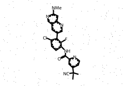 CNc1cc2ncc(-c3c(Cl)ccc(NC(=O)c4cc(C(C)(C)C#N)ccn4)c3F)cc2cn1